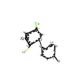 Cc1ccc(-c2cc(F)ccc2F)cc1